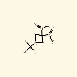 O=[N+]([O-])C1([N+](=O)[O-])CN(C(F)(F)F)C1